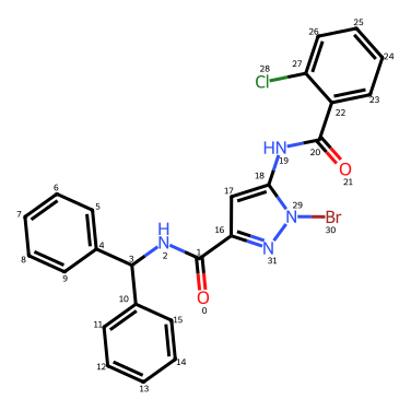 O=C(NC(c1ccccc1)c1ccccc1)c1cc(NC(=O)c2ccccc2Cl)n(Br)n1